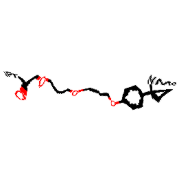 CNC1(c2ccc(OCCCOCCCOCC(=O)C(C)C)cc2)CC1